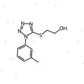 Cc1cccc(-n2nnnc2SCCO)c1